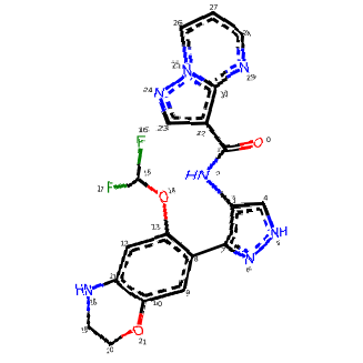 O=C(Nc1c[nH]nc1-c1cc2c(cc1OC(F)F)NCCO2)c1cnn2cccnc12